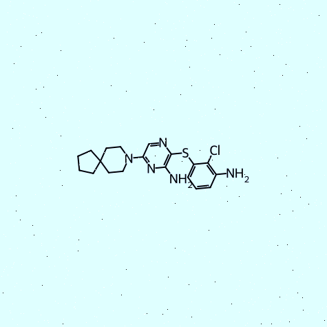 Nc1cccc(Sc2ncc(N3CCC4(CCCC4)CC3)nc2N)c1Cl